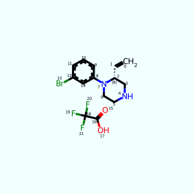 C=C[C@@H]1CNCCN1c1cccc(Br)c1.O=C(O)C(F)(F)F